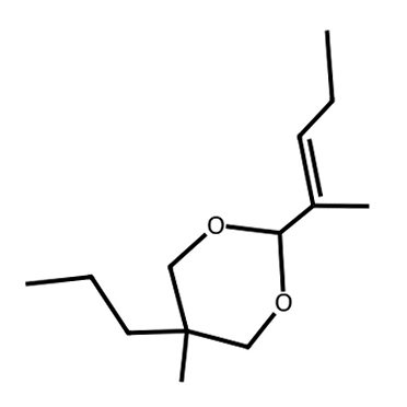 CCC=C(C)C1OCC(C)(CCC)CO1